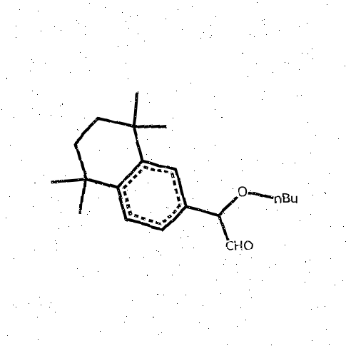 CCCCOC(C=O)c1ccc2c(c1)C(C)(C)CCC2(C)C